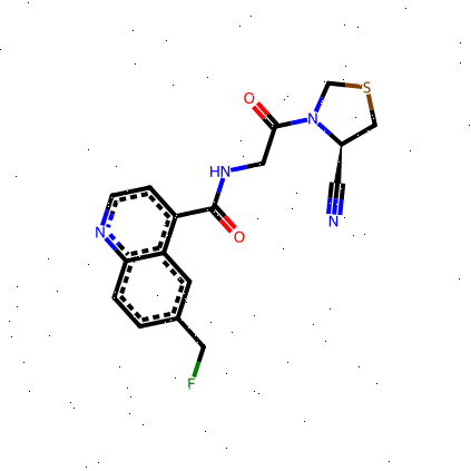 N#C[C@@H]1CSCN1C(=O)CNC(=O)c1ccnc2ccc(CF)cc12